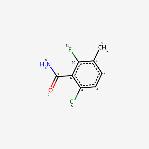 Cc1ccc(Cl)c(C(N)=O)c1F